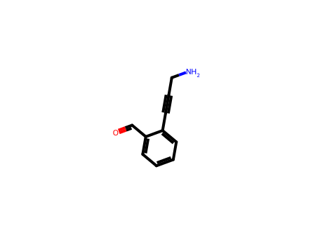 NCC#Cc1ccccc1C=O